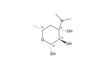 C[C@@H]1C[C@@](O)(N(C)C)[C@@H](O)[C@H](O)O1